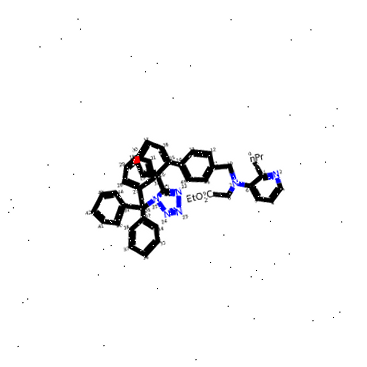 CCCc1ncccc1N(CC(=O)OCC)Cc1ccc(-c2ccccc2-c2nnnn2C(c2ccccc2)(c2ccccc2)c2ccccc2)cc1